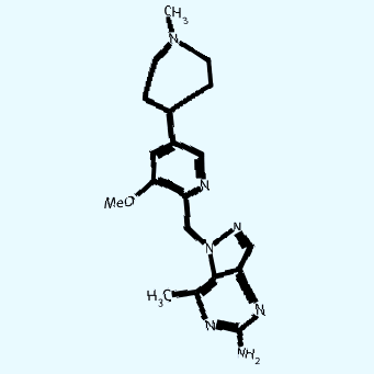 COc1cc(C2CCN(C)CC2)cnc1Cn1ncc2nc(N)nc(C)c21